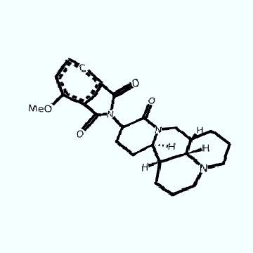 COc1cccc2c1C(=O)N(C1CC[C@@H]3[C@H]4CCCN5CCC[C@@H](CN3C1=O)[C@@H]45)C2=O